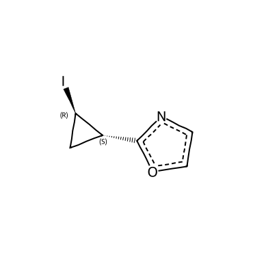 I[C@@H]1C[C@H]1c1ncco1